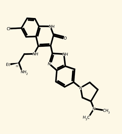 CC[C@H](N)CNc1c(-c2nc3ccc(N4CCC(N(C)C)C4)cc3[nH]2)c(=O)[nH]c2ccc(Cl)cc12